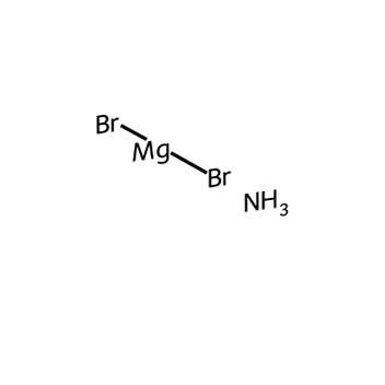 N.[Br][Mg][Br]